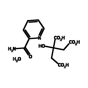 NC(=O)c1ccccn1.O.O=C(O)CC(O)(CC(=O)O)C(=O)O